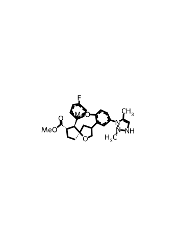 COC(=O)[C@H]1CC[C@@]2(CC(c3cc(N4C(C)=CNN4C)ccc3OC)CO2)[C@@H]1c1ccc(F)cc1